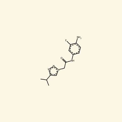 CC(C)c1cn(CC(=O)Nc2ccc(N)c(F)c2)nn1